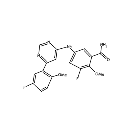 COc1ccc(F)cc1-c1cc(Nc2cc(F)c(OC)c(C(N)=O)c2)ncn1